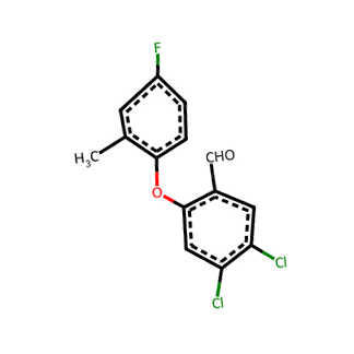 Cc1cc(F)ccc1Oc1cc(Cl)c(Cl)cc1C=O